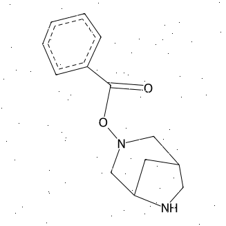 O=C(ON1CC2CNC(C2)C1)c1ccccc1